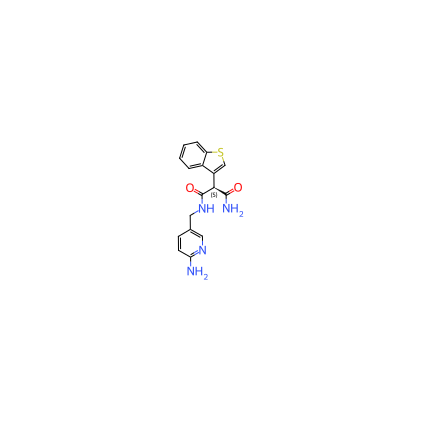 NC(=O)[C@@H](C(=O)NCc1ccc(N)nc1)c1csc2ccccc12